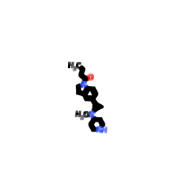 CCCC(=O)N1CCc2cc(C3CC3N(C)C3CCNCC3)ccc21